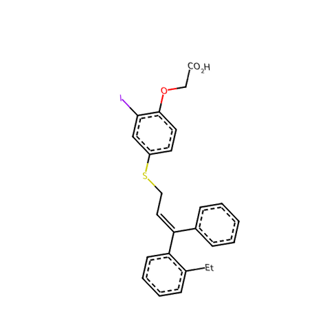 CCc1ccccc1C(=CCSc1ccc(OCC(=O)O)c(I)c1)c1ccccc1